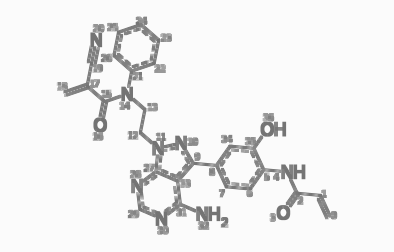 C=CC(=O)Nc1ccc(-c2nn(CCN(C(=O)C(=C)C#N)c3ccccc3)c3ncnc(N)c23)cc1O